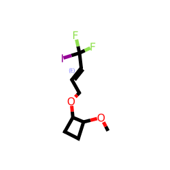 COC1CCC1OC/C=C/C(F)(F)I